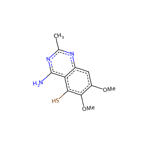 COc1cc2nc(C)nc(N)c2c(S)c1OC